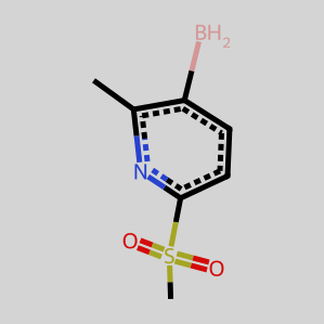 Bc1ccc(S(C)(=O)=O)nc1C